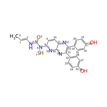 CC=CNC(=O)N(S)c1ccc2nc(-c3ccc(O)cc3)c(-c3ccc(O)cc3)nc2n1